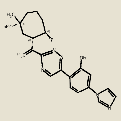 C=C(c1ncc(-c2ccc(-n3ccnc3)cc2O)nn1)[C@@H]1C[C@](C)(CCC)CCC[C@H]1F